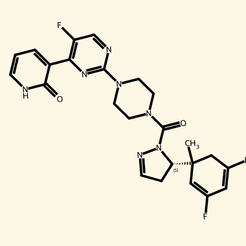 CC1([C@@H]2CC=NN2C(=O)N2CCN(c3ncc(F)c(-c4ccc[nH]c4=O)n3)CC2)C=C(F)C=C(F)C1